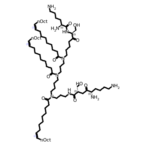 CCCCCCCC/C=C\CCCCCCCC(=O)N(CCCCN(CCCN(CCCCC(=O)[C@H](CO)NC(=O)[C@@H](N)CCCCN)C(=O)CCCCCCC/C=C\CCCCCCCC)C(=O)CCCCCCC/C=C\CCCCCCCC)CCCNC(=O)[C@H](CO)CC(=O)[C@@H](N)CCCCN